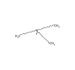 CCCCCCCCCCCCN(CCCCCCCCCCCC)C(I)CCCCCCCCCCC